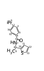 CC(C)c1ccc(C(=O)NC(C)c2cccs2)cc1